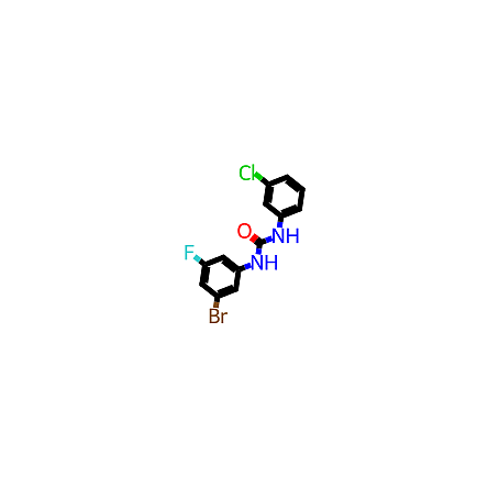 O=C(Nc1cccc(Cl)c1)Nc1cc(F)cc(Br)c1